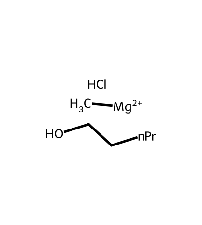 CCCCCO.Cl.[CH3][Mg+2]